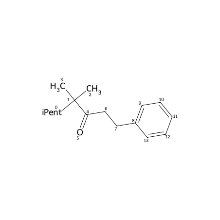 CCCC(C)C(C)(C)C(=O)CCc1ccccc1